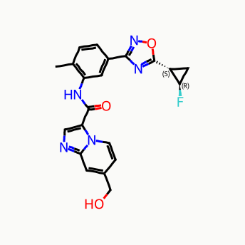 Cc1ccc(-c2noc([C@@H]3C[C@H]3F)n2)cc1NC(=O)c1cnc2cc(CO)ccn12